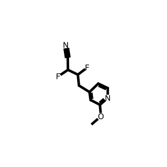 COc1cc(CC(F)C(F)C#N)ccn1